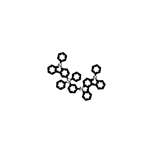 c1ccc(-n2c3ccccc3c3cc([Si](c4ccccc4)(c4ccccc4)c4cccc(-n5c6ccccc6c6c7c8ccccc8n(-c8ccccc8)c7ccc65)c4)ccc32)cc1